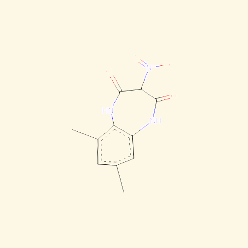 Cc1cc(C)c2c(c1)NC(=O)C([N+](=O)[O-])C(=O)N2